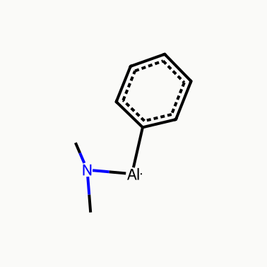 C[N](C)[Al][c]1ccccc1